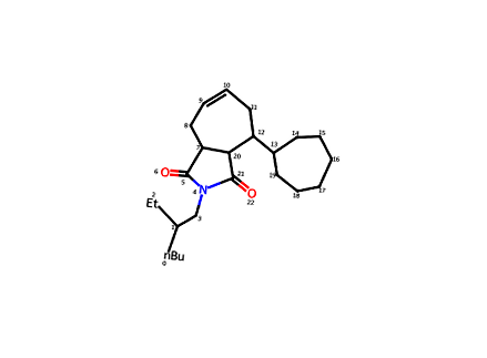 CCCCC(CC)CN1C(=O)C2CC=CCC(C3CCCCCC3)C2C1=O